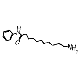 NCCCCCCCCCCC(=O)Nc1ccccc1